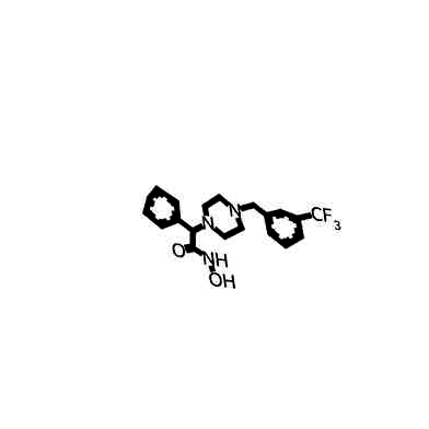 O=C(NO)C(c1ccccc1)N1CCN(Cc2cccc(C(F)(F)F)c2)CC1